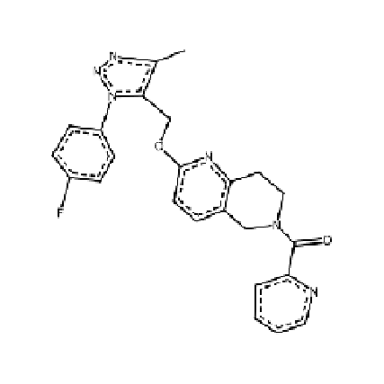 Cc1nnn(-c2ccc(F)cc2)c1COc1ccc2c(n1)CCN(C(=O)c1ccccn1)C2